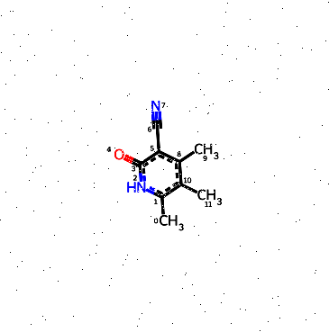 Cc1[nH]c(=O)c(C#N)c(C)c1C